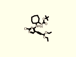 CCOC(C#Cc1cnc(Cl)nc1NC1CCCCCCC1NC(=O)OC(C)(C)C)OCC